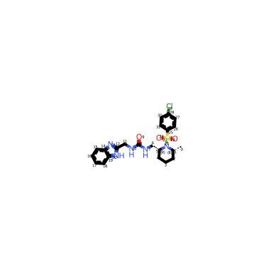 C[C@@H]1CCC[C@H](CNC(=O)NCc2nc3ccccc3[nH]2)N1S(=O)(=O)c1ccc(Cl)cc1